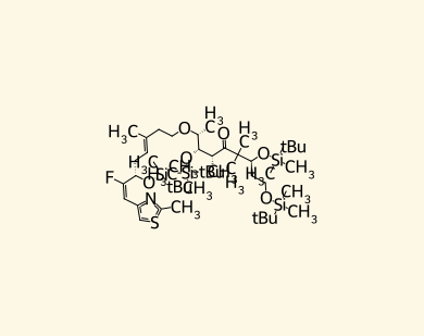 C/C(=C\C[C@H](O[Si](C)(C)C(C)(C)C)/C(F)=C\c1csc(C)n1)CCO[C@H](C)[C@@H](O[Si](C)(C)C(C)(C)C)[C@@H](C)C(=O)C(C)(C)[C@H](CCO[Si](C)(C)C(C)(C)C)O[Si](C)(C)C(C)(C)C